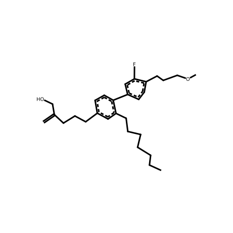 C=C(CO)CCCc1ccc(-c2ccc(CCCOC)c(F)c2)c(CCCCCCC)c1